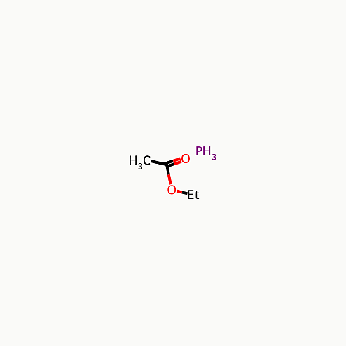 CCOC(C)=O.P